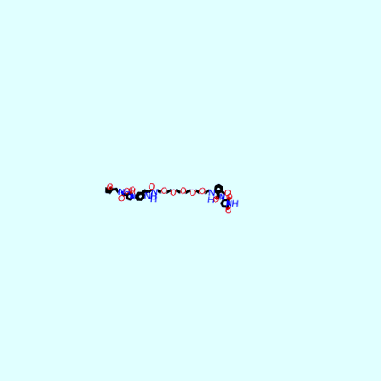 O=C1CCC(N2C(=O)c3cccc(NCCOCCOCCOCCOCCOCCNC(=O)c4cc5cc(N6CCC(O)(C(=O)NCCc7ccco7)C6=O)ccc5[nH]4)c3C2=O)C(=O)N1